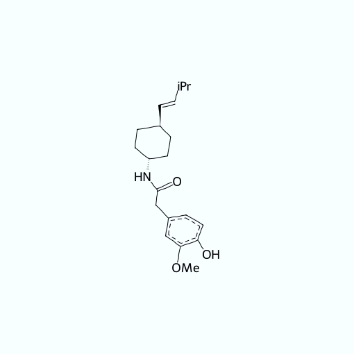 COc1cc(CC(=O)N[C@H]2CC[C@H](C=CC(C)C)CC2)ccc1O